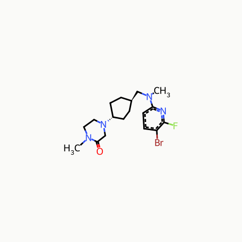 CN1CCN([C@H]2CC[C@H](CN(C)c3ccc(Br)c(F)n3)CC2)CC1=O